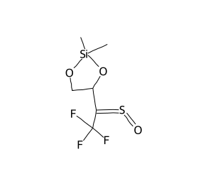 C[Si]1(C)OCC(C(=S=O)C(F)(F)F)O1